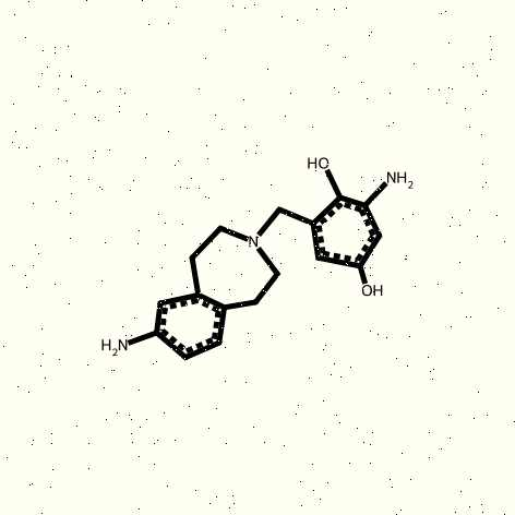 Nc1ccc2c(c1)CCN(Cc1cc(O)cc(N)c1O)CC2